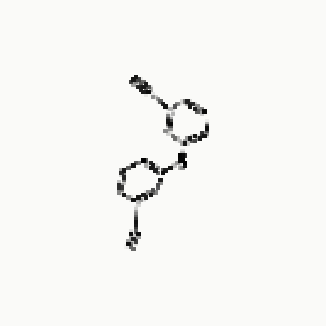 C#Cc1cccc(Sc2cccc(C#C)c2)c1